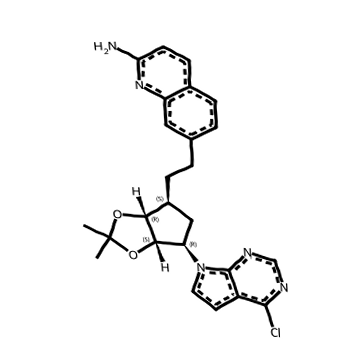 CC1(C)O[C@@H]2[C@@H](CCc3ccc4ccc(N)nc4c3)C[C@@H](n3ccc4c(Cl)ncnc43)[C@@H]2O1